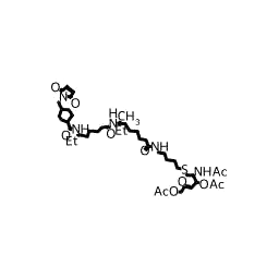 CCC(CCCCC(=O)NC(C)(CC)CCCCCC(=O)NCCCCCS[C@@H]1OC(COC(C)=O)=CC(OC(C)=O)C1NC(C)=O)NC(=O)C1CCC(CN2C(=O)C=CC2=O)CC1